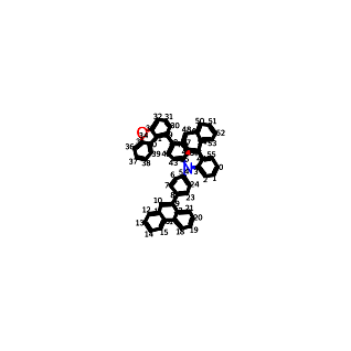 c1ccc(N(c2ccc(-c3cc4ccccc4c4ccccc34)cc2)c2ccc(-c3cccc4oc5ccccc5c34)cc2)c(-c2cccc3ccccc23)c1